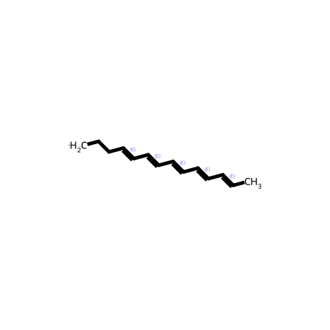 [CH2]CC/C=C/C=C/C=C/C=C/C=C/C